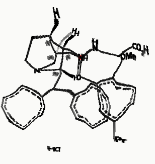 COc1ccc(C(C)C)cc1CN[C@H]1[C@H]2CCN(C[C@@H]2C(=O)NCC(=O)O)[C@H]1C(c1ccccc1)c1ccccc1.Cl